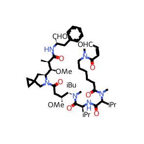 CC[C@H](C)[C@@H]([C@@H](CC(=O)N1CC2(CC2)C[C@H]1[C@H](OC)[C@@H](C)C(=O)N[C@H](C=O)Cc1ccccc1)OC)N(C)C(=O)[C@@H](NC(=O)C(C(C)C)N(C)C(=O)CCCCCN(C)C(=O)/C=C\C=O)C(C)C